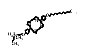 CCCCCCCCCCCCOc1ccc(-c2c3nc(cc4ccc([nH]4)c(-c4ccc(OCCC[N+](C)(C)CCCC)cc4)c4nc(cc5ccc2[nH]5)C=C4)C=C3)cc1